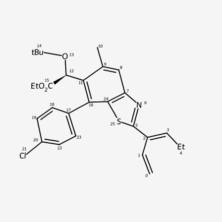 C=C/C(=C\CC)c1nc2cc(C)c([C@H](OC(C)(C)C)C(=O)OCC)c(-c3ccc(Cl)cc3)c2s1